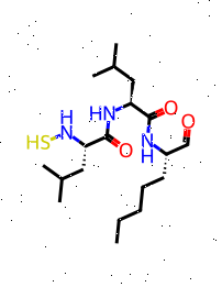 CCCCC[C@@H](C=O)NC(=O)[C@H](CC(C)C)NC(=O)[C@H](CC(C)C)NS